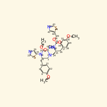 CCN(CC(Cc1ccc(OC)cc1)N(C(=O)OC)c1cncs1)C[C@H](Cc1ccc(OC)cc1)NC(=O)OCc1cncs1